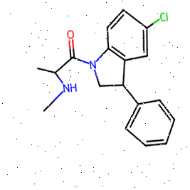 CNC(C)C(=O)N1CC(c2ccccc2)c2cc(Cl)ccc21